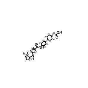 Cn1nccc1Nc1nnc(C(=O)Nc2ccc([C@H]3CC[C@H](CC(=O)O)CC3)cc2)o1